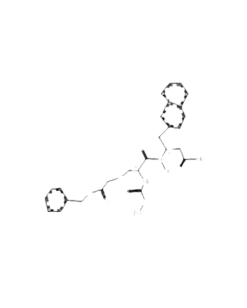 CCCN(C(=O)[C@H](CCCC(=O)OCc1ccccc1)NC(=O)OC(C)(C)C)[C@H](CC(N)=O)Cc1ccc2ccccc2c1